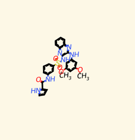 COc1cc(Nc2nc3ccccc3nc2NS(=O)(=O)c2cccc(NC(=O)c3ccc[nH]3)c2)cc(OC)c1